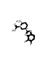 C[C@@H]1CC[C@@H](c2nc3ccc(F)c(F)c3o2)CN1C(=O)O